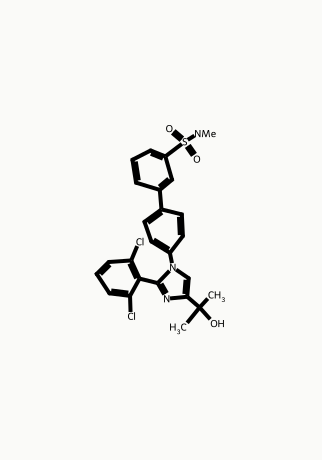 CNS(=O)(=O)c1cccc(-c2ccc(-n3cc(C(C)(C)O)nc3-c3c(Cl)cccc3Cl)cc2)c1